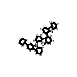 c1ccc(-c2ccc3c4ccccc4n(-c4cccc5c4oc4cccc(-c6cccc7c6sc6ccccc67)c45)c3c2)cc1